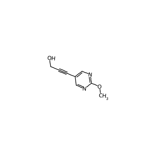 COc1ncc(C#CCO)cn1